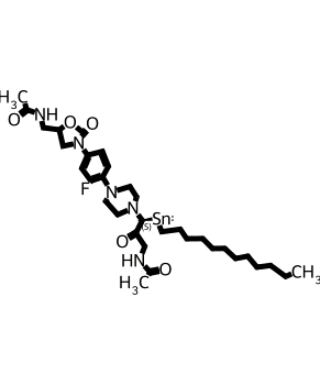 CCCCCCCCCCC[CH2][Sn][C@@H](C(=O)CNC(C)=O)N1CCN(c2ccc(N3CC(CNC(C)=O)OC3=O)cc2F)CC1